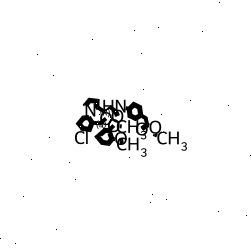 CCOC(=O)Cc1ccc(NC(=O)C[C@H]2O[C@H](c3cccc(OC)c3OC)c3cc(Cl)ccc3-n3cccc32)cc1